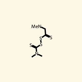 CNCC(=S)SSC(=S)N(C)C